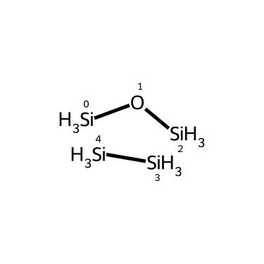 [SiH3]O[SiH3].[SiH3][SiH3]